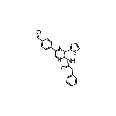 O=Cc1ccc(-c2cnc(NC(=O)Cc3ccccc3)c(-c3cccs3)n2)cc1